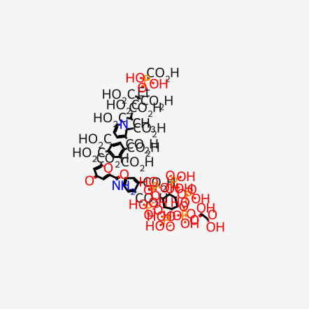 CC(C(=O)O)C(=O)O.CCC(C(=O)O)(C(=O)O)C(=O)O.NC(=O)c1cc(=O)cc(C(=O)O)o1.O=C(O)C(=O)O.O=C(O)P(=O)(O)O.O=C(O)c1cc(C(=O)O)c(C(=O)O)cc1C(=O)O.O=C(O)c1ccccc1C(=O)O.O=C(O)c1cccnc1C(=O)O.O=P(O)(O)O[C@H]1[C@H](OP(=O)(O)O)[C@@H](OP(=O)(O)O)[C@H](OP(=O)(O)O)[C@@H](OP(=O)(O)O)[C@H]1OP(=O)(O)O